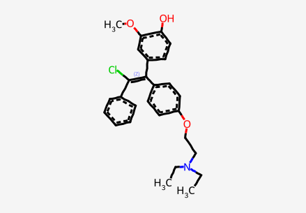 CCN(CC)CCOc1ccc(/C(=C(/Cl)c2ccccc2)c2ccc(O)c(OC)c2)cc1